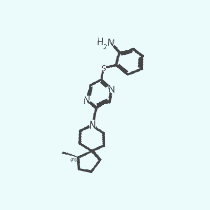 C[C@@H]1CCCC12CCN(c1cnc(Sc3ccccc3N)cn1)CC2